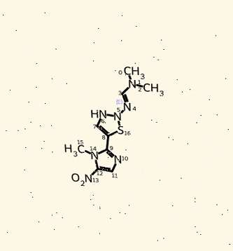 CN(C)/C=N/N1NC=C(c2ncc([N+](=O)[O-])n2C)S1